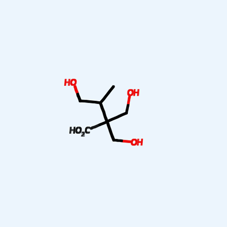 CC(CO)C(CO)(CO)C(=O)O